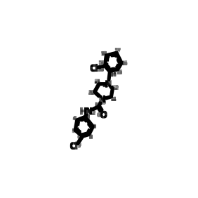 O=C(Nc1ccc(Cl)cc1)N1CCN(c2ccccc2Cl)CC1